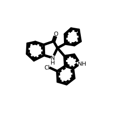 O=C1c2ccccc2NC1(c1ccccc1)c1c[nH]c2cccc(Cl)c12